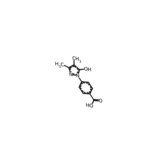 Cc1nn(-c2ccc(C(=O)O)cc2)c(O)c1C